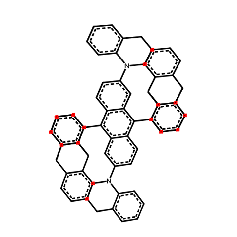 c1ccc2c(c1)CCCN2c1ccc2c(-c3cccc4c3C3c5ccccc5C4c4ccccc43)c3cc(N4CCCc5ccccc54)ccc3c(-c3cccc4c3C3c5ccccc5C4c4ccccc43)c2c1